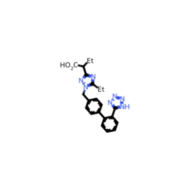 CCc1nc(C(CC)C(=O)O)nn1Cc1ccc(-c2ccccc2-c2nnn[nH]2)cc1